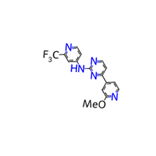 COc1cc(-c2ccnc(Nc3ccnc(C(F)(F)F)c3)n2)ccn1